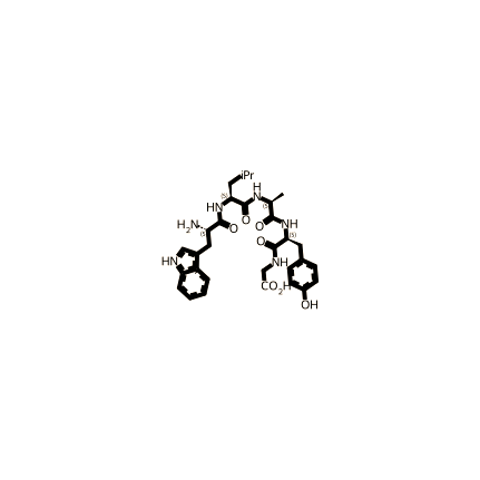 CC(C)C[C@H](NC(=O)[C@@H](N)Cc1c[nH]c2ccccc12)C(=O)N[C@@H](C)C(=O)N[C@@H](Cc1ccc(O)cc1)C(=O)NCC(=O)O